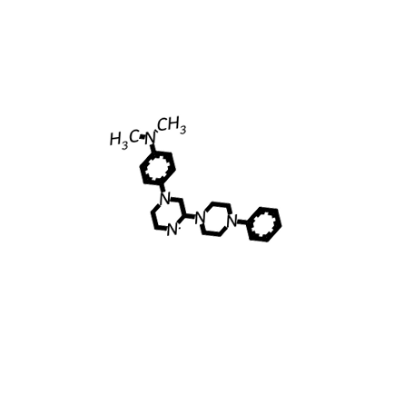 CN(C)c1ccc(N2CC[N]C(N3CCN(c4ccccc4)CC3)C2)cc1